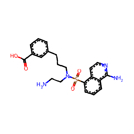 NCCN(CCCc1cccc(C(=O)O)c1)S(=O)(=O)c1cccc2c(N)nccc12